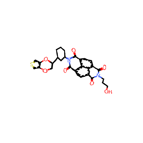 O=C1c2ccc3c4c(ccc(c24)C(=O)N1CCCO)C(=O)N(C1CCCC(C2COc4cscc4O2)C1)C3=O